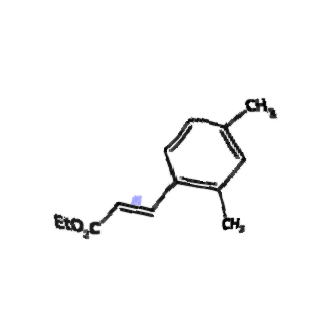 CCOC(=O)/C=C/c1ccc(C)cc1C